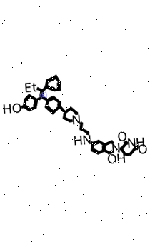 CC/C(=C(\c1ccc(O)cc1)c1ccc(C2CCN(CCCNc3ccc4c(c3)CN(C3CCC(=O)NC3=O)C4O)CC2)cc1)c1ccccc1